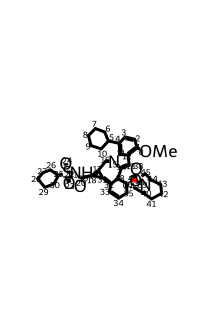 COc1ccc(C2CCCCC2)c2c1cc1n2CC2=C(C(=O)NS(=O)(=O)C3CCCCC3)C2=C2C=CC[C@@H](C(=O)N3C4CCCC3COC4)C21